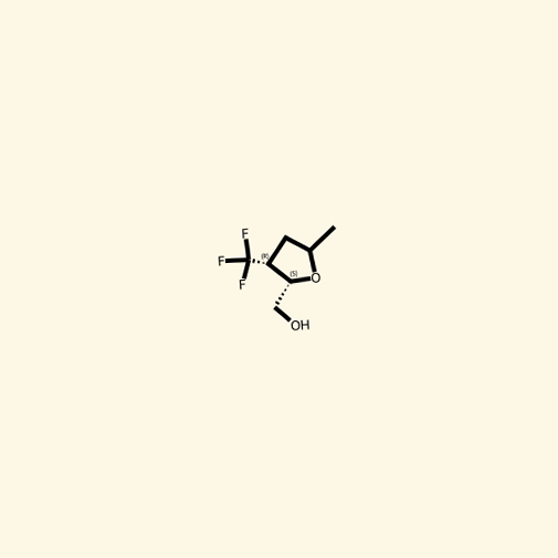 CC1C[C@@H](C(F)(F)F)[C@@H](CO)O1